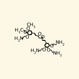 CCOc1cc(/C=C/C(=O)CC(=O)/C=C/c2cc(OCCN)c(OCCN)c(OCCN)c2)cc(OCCN)c1OCC